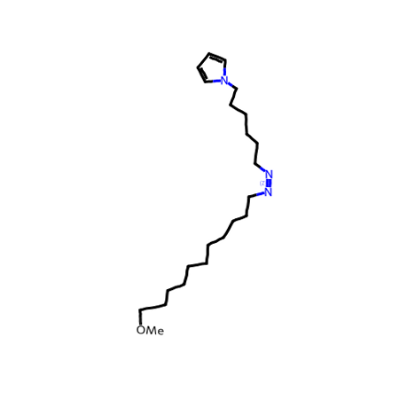 COCCCCCCCCCCC/N=N\CCCCCCn1cccc1